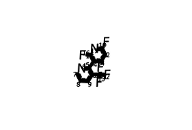 Fc1ccc(-c2ncccc2C(F)(F)F)c(F)n1